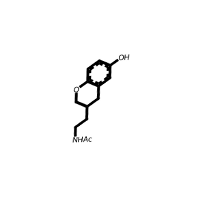 CC(=O)NCCC1COc2ccc(O)cc2C1